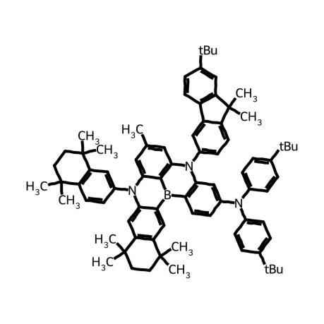 Cc1cc2c3c(c1)N(c1ccc4c(c1)C(C)(C)CCC4(C)C)c1cc4c(cc1B3c1ccc(N(c3ccc(C(C)(C)C)cc3)c3ccc(C(C)(C)C)cc3)cc1N2c1ccc2c(c1)-c1ccc(C(C)(C)C)cc1C2(C)C)C(C)(C)CCC4(C)C